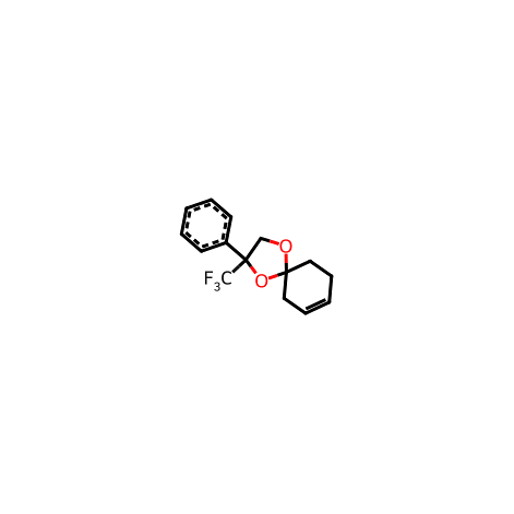 FC(F)(F)C1(c2ccccc2)COC2(CC=CCC2)O1